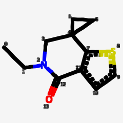 CCN1CC2(CC2)c2sccc2C1=O